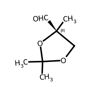 CC1(C)OC[C@](C)(C=O)O1